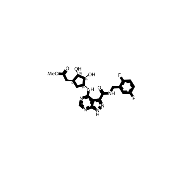 COC(=O)C[C@@H]1C[C@@H](Nc2ncnc3[nH]nc(C(=O)NCc4cc(F)ccc4F)c23)[C@@H](O)[C@H]1O